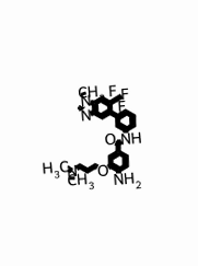 CN(C)CCCOc1cc(C(=O)Nc2cccc(-c3cc4ncn(C)c4cc3C(F)(F)F)c2)ccc1N